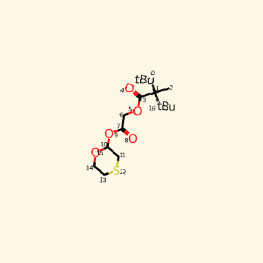 CC(C)(C)C(C)(C(=O)OCC(=O)OC1CSCCO1)C(C)(C)C